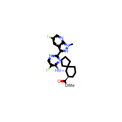 COC(=O)[C@@H]1CCCC2(CCCC2)[C@H]1Nc1nc(-c2nn(C)c3ncc(F)cc23)ncc1F